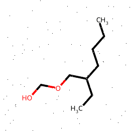 CCCCC(CC)COCO